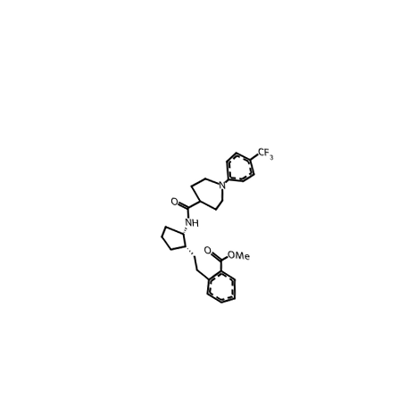 COC(=O)c1ccccc1CC[C@@H]1CCC[C@@H]1NC(=O)C1CCN(c2ccc(C(F)(F)F)cc2)CC1